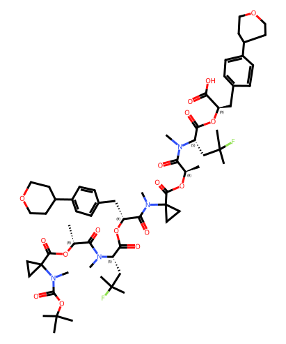 C[C@@H](OC(=O)C1(N(C)C(=O)OC(C)(C)C)CC1)C(=O)N(C)[C@@H](CC(C)(C)F)C(=O)O[C@H](Cc1ccc(C2CCOCC2)cc1)C(=O)N(C)C1(C(=O)O[C@H](C)C(=O)N(C)[C@@H](CC(C)(C)F)C(=O)O[C@H](Cc2ccc(C3CCOCC3)cc2)C(=O)O)CC1